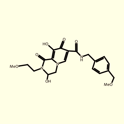 COCCN1C(=O)c2c(O)c(=O)c(C(=O)NCc3ccc(COC)cc3)cn2CC1O